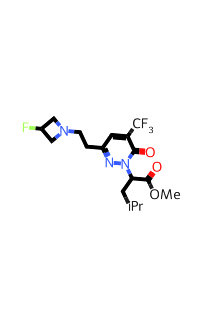 COC(=O)C(CC(C)C)n1nc(CCN2CC(F)C2)cc(C(F)(F)F)c1=O